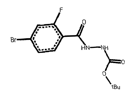 CC(C)(C)OC(=O)NNC(=O)c1ccc(Br)cc1F